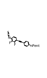 CCCCCc1ccc(C#Cc2ccc(N=C=S)c(F)c2F)cc1